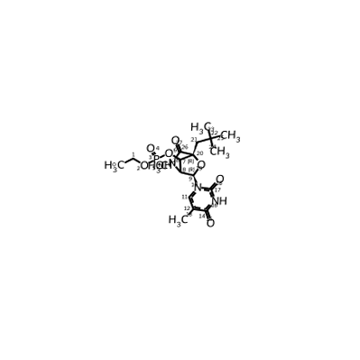 CCOP(=O)(O)OC1C2[C@H](n3cc(C)c(=O)[nH]c3=O)O[C@@]1(CC(C)(C)C)C(=O)N2C